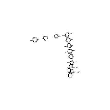 CCCCOC(C)=O.CCCCOC(C)=O.Cc1ccc(C)cc1.Cc1ccc(C)cc1.Cc1ccc(C)cc1.Cc1ccc(C)cc1.Cc1ccc(C)cc1.Cc1ccc(C)cc1.Cc1ccc(C)cc1.Cc1ccc(C)cc1.Cc1ccc(C)cc1